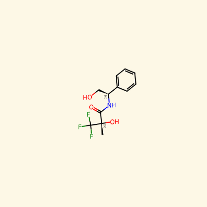 C[C@](O)(C(=O)N[C@@H](CO)c1ccccc1)C(F)(F)F